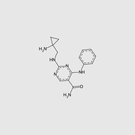 NC(=O)c1cnc(NCC2(N)CC2)nc1Nc1ccccc1